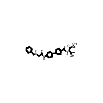 C[C@@H](O)[C@H](NC(=O)c1ccc(-c2ccc(NC(=O)CNCc3ccccc3)cc2)cc1)C(=O)NO